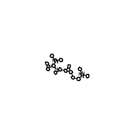 c1ccc(-c2cc(-c3ccccc3)nc(-c3cc(-n4c5ccccc5c5ccccc54)cc(-n4c5ccccc5c5cc(-c6ccc7c8cc(-c9cccc(-c%10cccc(-c%11nc(-c%12ccccc%12)nc(-c%12ccccc%12)n%11)c%10)c9)ccc8c8ccccc8c7c6)ccc54)c3)n2)cc1